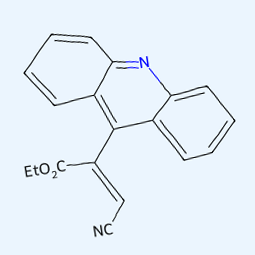 CCOC(=O)C(=CC#N)c1c2ccccc2nc2ccccc12